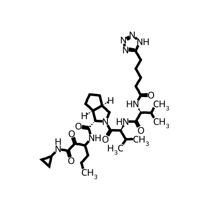 CCCC(NC(=O)[C@@H]1[C@H]2CCC[C@H]2CN1C(=O)[C@@H](NC(=O)[C@H](NC(=O)CCCCc1nnn[nH]1)C(C)C)C(C)C)C(=O)C(=O)NC1CC1